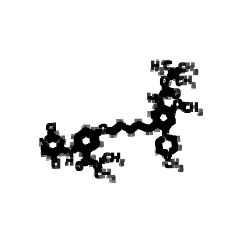 COc1cc(N2CCN(C)CC2)c(CCCCCOc2ccc(Nc3nc(Cl)ncc3Cl)c(C(=O)N(C)C)c2)cc1NC(=O)OC(C)(C)C